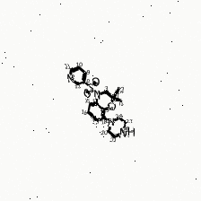 CC1(C)CN(S(=O)(=O)c2cccnc2)c2cccc(N3CCNCC3)c2O1